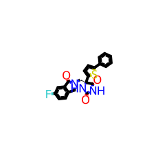 O=C1NC(=O)[C@](CN2Cc3ccc(F)cc3C2=O)(c2ccc(-c3ccccc3)s2)N1